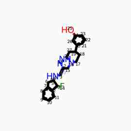 N=N/C(=C\N[C@@H]1Cc2ccccc2[C@H]1F)CN1CCC(c2cccc(O)c2)CC1